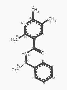 Cc1cc(C(=O)N[C@@H](C)c2ccccc2)c(C)nc1C